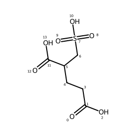 O=C(O)CCC(CS(=O)(=O)O)C(=O)O